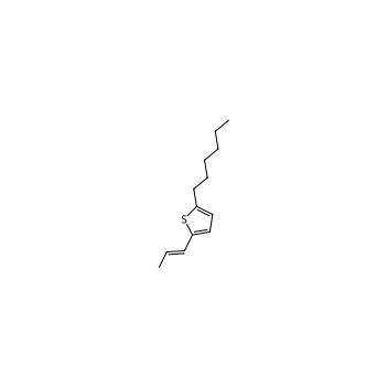 CC=Cc1ccc(CCCCCC)s1